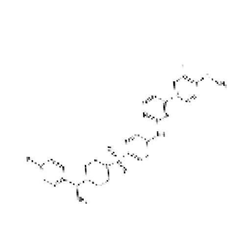 COc1ccc(-c2ccnc(Nc3ccc(S(=O)(=O)N4CCC(C(N)c5ccc(F)cc5)CC4)cc3)n2)cc1F